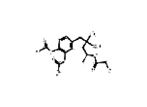 CCC(C)C(=O)Oc1ccc(CC(N)(C[C@H](C)OC(=O)CC(C)C)C(=O)O)cc1OC(=O)C(C)CC